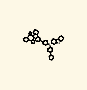 c1ccc(-c2ccc(N(c3ccc(-c4ccc5c(c4)-c4ccccc4C54c5ccccc5-c5ccccc5-c5ccccc54)cc3)c3ccc4c(c3)oc3ccccc34)cc2)cc1